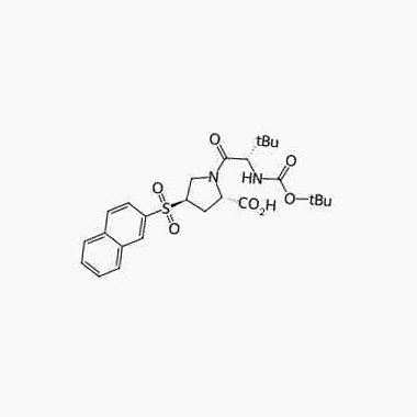 CC(C)(C)OC(=O)N[C@H](C(=O)N1C[C@H](S(=O)(=O)c2ccc3ccccc3c2)C[C@H]1C(=O)O)C(C)(C)C